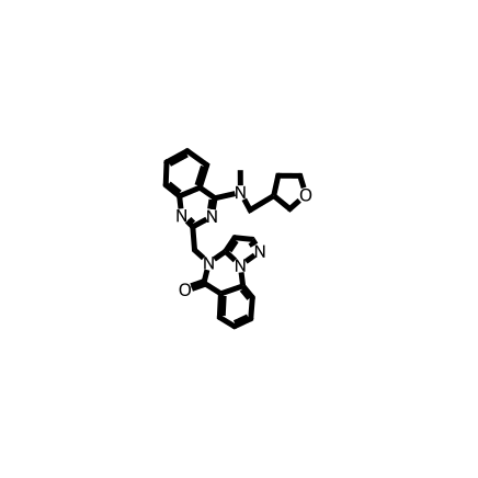 CN(CC1CCOC1)c1nc(Cn2c(=O)c3ccccc3n3nccc23)nc2ccccc12